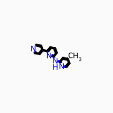 Cc1ccnc(Nc2cccc(-c3ccncc3)n2)c1